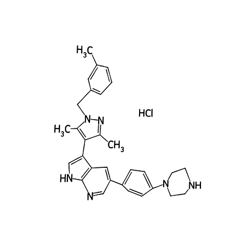 Cc1cccc(Cn2nc(C)c(-c3c[nH]c4ncc(-c5ccc(N6CCNCC6)cc5)cc34)c2C)c1.Cl